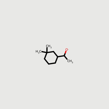 CC([O])C1CCCC(C)(C)C1